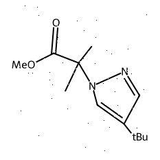 COC(=O)C(C)(C)n1cc(C(C)(C)C)cn1